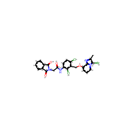 Cc1nc2c(OCc3c(Cl)ccc(NC(=O)CN4C(=O)c5ccccc5C4=O)c3Cl)cccn2c1Br